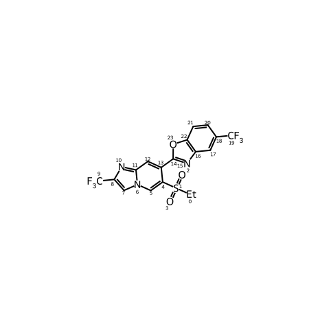 CCS(=O)(=O)c1cn2cc(C(F)(F)F)nc2cc1-c1nc2cc(C(F)(F)F)ccc2o1